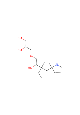 CCC(C)(CC(C)(CC)N(C)C)C(O)COCC(O)CO